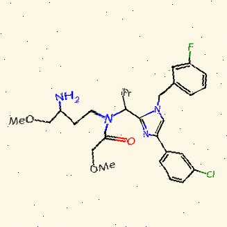 COCC(=O)N(CCC(N)COC)C(c1nc(-c2cccc(Cl)c2)cn1Cc1cccc(F)c1)C(C)C